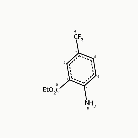 CCOC(=O)c1cc(C(F)(F)F)ccc1N